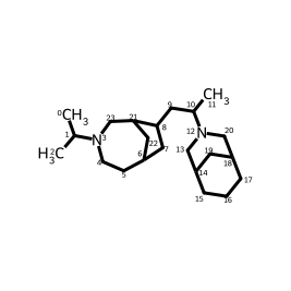 CC(C)N1CCC2CC(CC(C)N3CC4CCCC(C4)C3)C(C2)C1